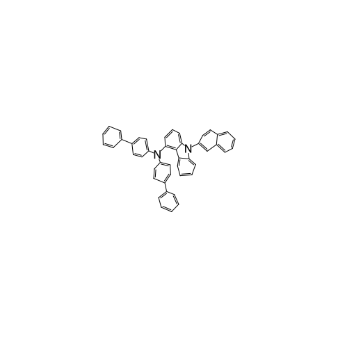 c1ccc(-c2ccc(N(c3ccc(-c4ccccc4)cc3)c3cccc4c3c3ccccc3n4-c3ccc4ccccc4c3)cc2)cc1